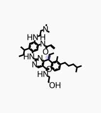 C=CC(=O)Nc1cc(Nc2ncc(C(=O)NCCO)c(/C(=C/C)c3cccc(CCCC(C)C)c3C)n2)c(C(C)CC)cc1NCCN(C)C